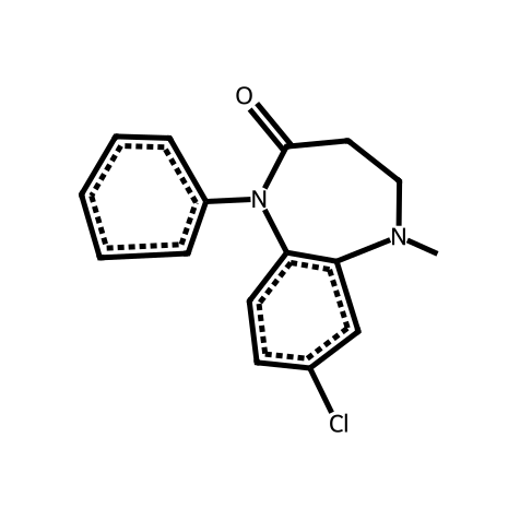 CN1CCC(=O)N(c2ccccc2)c2ccc(Cl)cc21